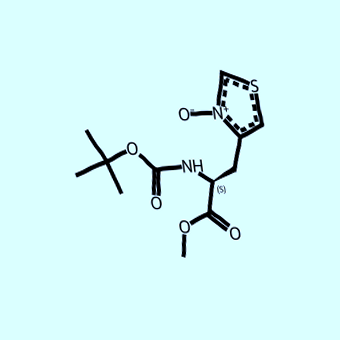 COC(=O)[C@H](Cc1csc[n+]1[O-])NC(=O)OC(C)(C)C